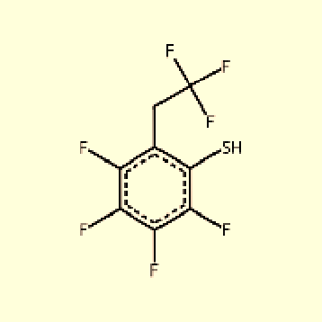 Fc1c(F)c(F)c(CC(F)(F)F)c(S)c1F